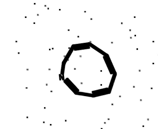 C1=CC=CCN=CC=C1